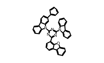 c1ccc(-c2ccc3c4ccccc4n(-c4nc(-c5cccc6c5oc5ccccc56)nc(-n5c6ccccc6c6ccccc65)n4)c3c2)cc1